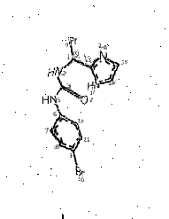 CC(C)[C@H](NC(=O)Nc1ccc(Br)cc1)c1ncc[nH]1